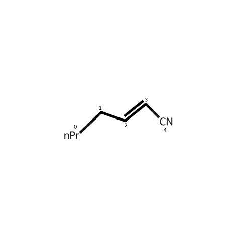 [CH2]CCCC=CC#N